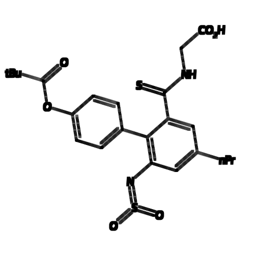 CCCc1cc(N=S(=O)=O)c(-c2ccc(OC(=O)C(C)(C)C)cc2)c(C(=S)NCC(=O)O)c1